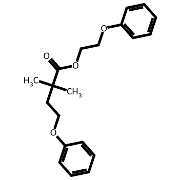 CC(C)(CCOc1ccccc1)C(=O)OCCOc1ccccc1